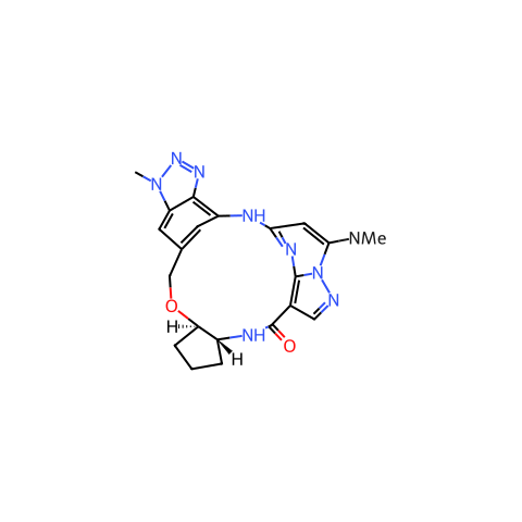 CNc1cc2nc3c(cnn13)C(=O)N[C@@H]1CCC[C@H]1OCc1cc(c3nnn(C)c3c1)N2